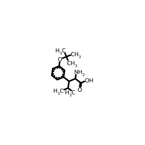 CC(C)C(c1cccc(OC(C)(C)C)c1)C(N)C(=O)O